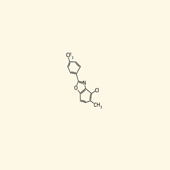 Cc1ccc2oc(-c3ccc(C(F)(F)F)cc3)nc2c1Cl